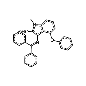 Cn1c(C=O)c(N=C(c2ccccc2)c2ccccc2)c2c(Oc3ccccc3)cccc21